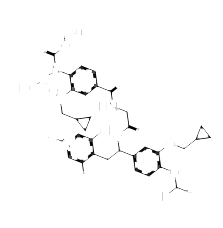 CC(C)(C)OC(=O)N(c1ccc(C(=O)NCC(=O)OC(Cc2c(Cl)c[n+]([O-])cc2Cl)c2ccc(OC(F)F)c(OCC3CC3)c2)cc1OCC1CC1)S(C)(=O)=O